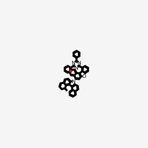 CC1CC=Cc2ccc3c(c21)c1c2ccccc2ccc1n3-c1cc2oc3cccc(-c4nc(-c5ccccc5)nc(-c5ccccc5)n4)c3c2c2ccccc12